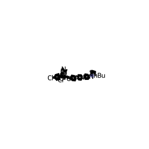 CCCCn1ccs/c1=N\c1ccc(N2CCN(c3ccc(OCC4COC(Cn5cncn5)(c5ccc(Cl)cc5Cl)O4)cc3)CC2)cc1